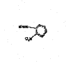 CC[CH]CCc1ccccc1[N+](=O)[O-]